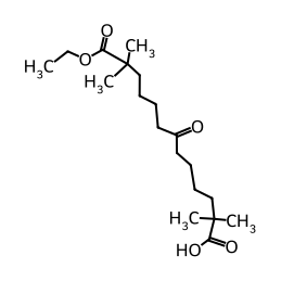 CCOC(=O)C(C)(C)CCCCC(=O)CCCCC(C)(C)C(=O)O